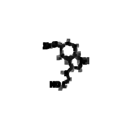 COc1ccc2[nH]cc(SCC(=O)O)c2c1